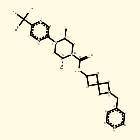 C[C@@H]1CN(c2cnc(C(F)(F)F)cn2)[C@@H](C)CN1C(=O)OC1CC2(C1)CN(Cc1ccncc1)C2